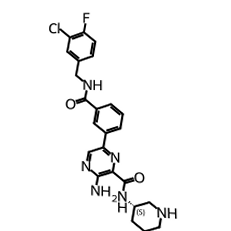 Nc1ncc(-c2cccc(C(=O)NCc3ccc(F)c(Cl)c3)c2)nc1C(=O)N[C@H]1CCCNC1